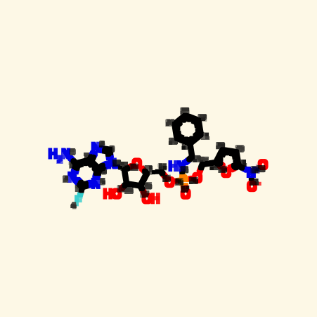 Nc1nc(F)nc2c1ncn2[C@@H]1O[C@H](COP(=O)(NCc2ccccc2)OCc2ccc([N+](=O)[O-])o2)C(O)C1O